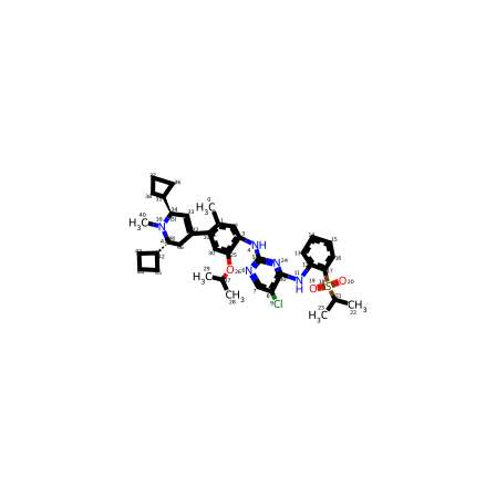 Cc1cc(Nc2ncc(Cl)c(Nc3ccccc3S(=O)(=O)C(C)C)n2)c(OC(C)C)cc1C1=C[C@H](C2CCC2)N(C)[C@@H](C2CCC2)C1